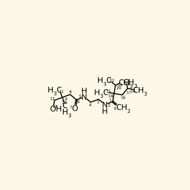 C=C(NCCNC(=O)CC(C)(C)CO)C(C)(CC(C)C)C(C)C